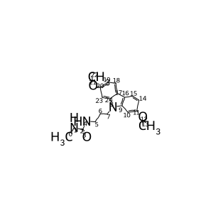 CNC(=O)NCCCn1c2cc(OC)ccc2c2ccc(OC)cc21